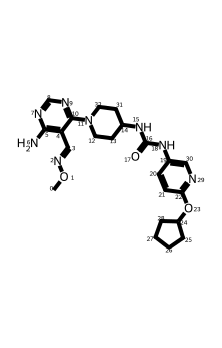 CO/N=C/c1c(N)ncnc1N1CCC(NC(=O)Nc2ccc(OC3CCCC3)nc2)CC1